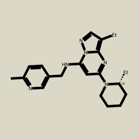 CCc1cnn2c(NCc3ccc(C)nc3)cc(N3CCCC[C@H]3CC)nc12